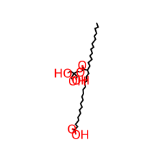 CCCCCCCCCCCCCCC(CCCCCCCCCCCCCCCCCC(=O)O)C(=O)OCC(CO)(CO)CO